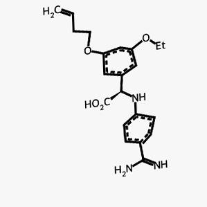 C=CCCOc1cc(OCC)cc([C@@H](Nc2ccc(C(=N)N)cc2)C(=O)O)c1